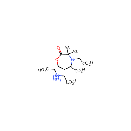 CCC1(CC)C(=O)OCCC(C(=O)O)N1CC(=O)O.N.O=C(O)CNCC(=O)O